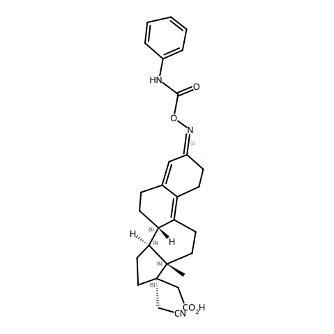 C[C@]12CCC3=C4CC/C(=N/OC(=O)Nc5ccccc5)C=C4CC[C@H]3[C@@H]1CC[C@]2(CC#N)CC(=O)O